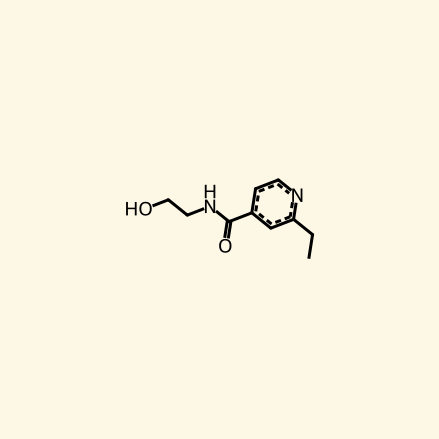 CCc1cc(C(=O)NCCO)ccn1